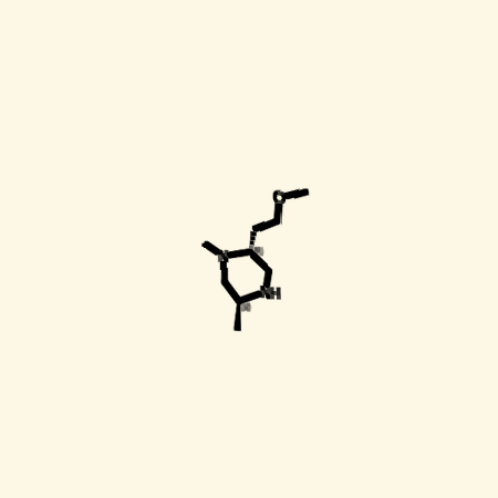 COCC[C@@H]1CN[C@@H](C)CN1C